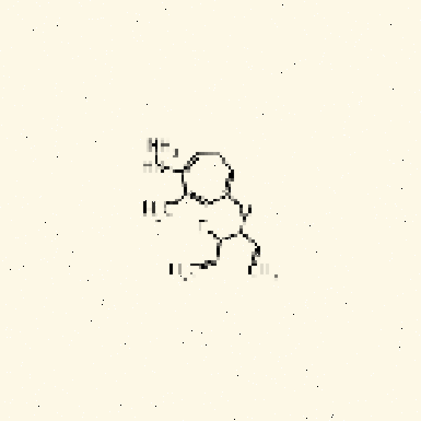 C=CC(F)C(C=C)OC1=CCC=C(NN)C(C)=C1